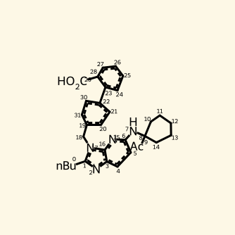 CCCCc1nc2ccc(NC3(C(C)=O)CCCCC3)nc2n1Cc1ccc(-c2ccccc2C(=O)O)cc1